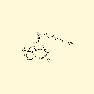 CCCCCCCCC1OC1CCC(CC1OC1CC(=O)O)CC1(C)CCCCC1